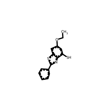 CCOc1cc(S)c2nc(-c3ccccc3)sc2c1